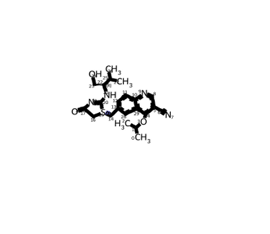 CC(C)Oc1c(C#N)cnc2ccc(/C=S3/CC(=O)N=C3N[C@@H](CO)C(C)C)cc12